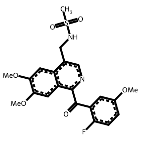 COc1ccc(F)c(C(=O)c2ncc(CNS(C)(=O)=O)c3cc(OC)c(OC)cc23)c1